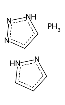 P.c1c[nH]nn1.c1cn[nH]c1